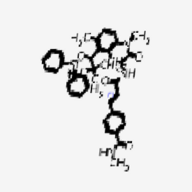 CNC(=O)c1ccc(/C=C/C(=O)NCC(=O)N(C)c2ccc(C)c(C(O[SiH](c3ccccc3)c3ccccc3)C(C)(C)C)c2C)cc1